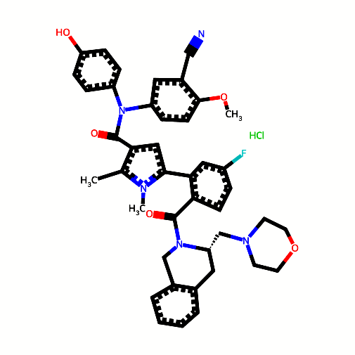 COc1ccc(N(C(=O)c2cc(-c3cc(F)ccc3C(=O)N3Cc4ccccc4C[C@H]3CN3CCOCC3)n(C)c2C)c2ccc(O)cc2)cc1C#N.Cl